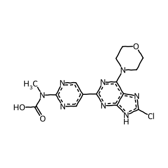 CN(C(=O)O)c1ncc(-c2nc(N3CCOCC3)c3nc(Cl)[nH]c3n2)cn1